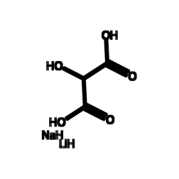 O=C(O)C(O)C(=O)O.[LiH].[NaH]